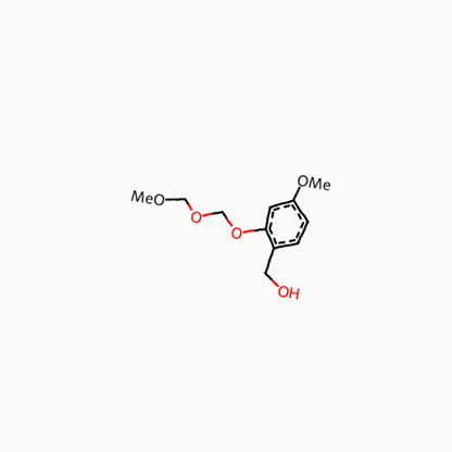 COCOCOc1cc(OC)ccc1CO